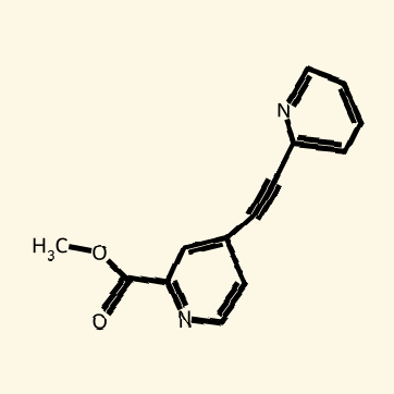 COC(=O)c1cc(C#Cc2ccccn2)ccn1